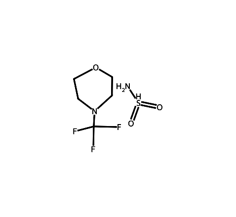 FC(F)(F)N1CCOCC1.N[SH](=O)=O